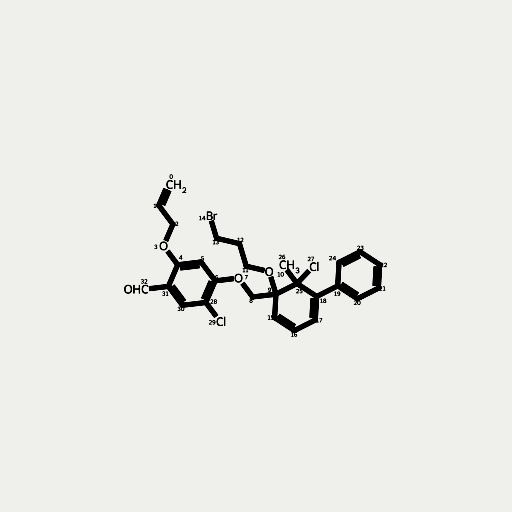 C=CCOc1cc(OCC2(OCCCBr)C=CC=C(c3ccccc3)C2(C)Cl)c(Cl)cc1C=O